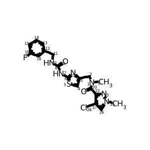 CN(Cc1csc(NC(=O)NCc2cccc(F)c2)n1)C(=O)c1nn(C)cc1Cl